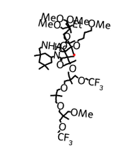 CCC(COC)(COC)COC(C)(C)C(C)(OCCCCOC)C(C)(OCCCCOC)C(C)(C(=O)NC1CC(C)(C)CC(C)(CNC(C)=O)C1)C(C)(C)OCC(C)(COCC(F)(F)F)COCC(C)(C)COCC(C)(COC)COCC(F)(F)F